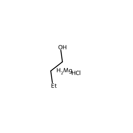 CCCCO.Cl.[MgH2]